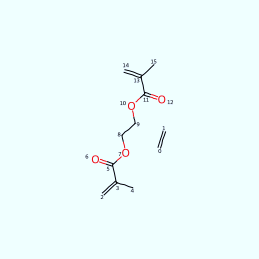 C=C.C=C(C)C(=O)OCCOC(=O)C(=C)C